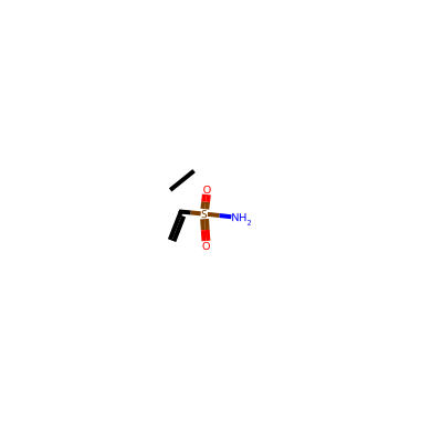 C=CS(N)(=O)=O.CC